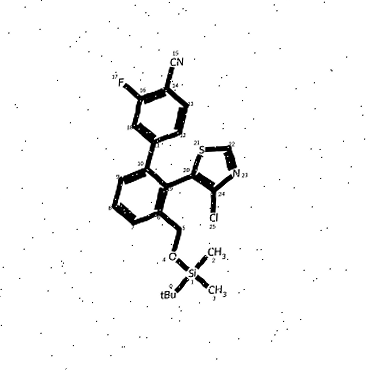 CC(C)(C)[Si](C)(C)OCc1cccc(-c2ccc(C#N)c(F)c2)c1-c1scnc1Cl